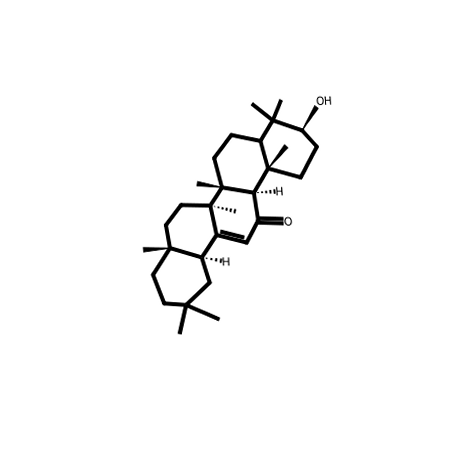 CC1(C)CC[C@]2(C)CC[C@]3(C)C(=CC(=O)[C@@H]4[C@@]5(C)CC[C@H](O)C(C)(C)C5CC[C@]43C)[C@H]2C1